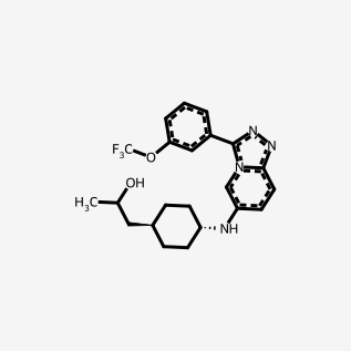 CC(O)C[C@H]1CC[C@H](Nc2ccc3nnc(-c4cccc(OC(F)(F)F)c4)n3c2)CC1